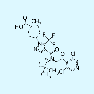 CC1(C(=O)O)CCC(n2ncc(C(=O)N(CC(=O)c3c(Cl)cncc3Cl)[C@@H]3CCC3(C)C)c2C(F)(F)F)CC1